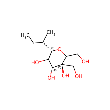 CCC(C)[C@@H]1OC(CO)[C@](O)(CO)[C@H](O)C1O